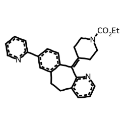 CCOC(=O)N1CCC(=C2c3ccc(-c4ccccn4)cc3CCc3cccnc32)CC1